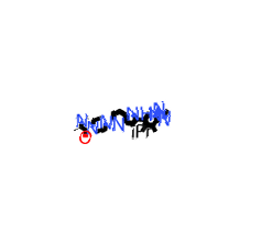 Cc1c(-c2[nH]c3ccc(N4CCN(C(=O)[C@H](C)N(C)C)CC4)nc3c2C(C)C)cn2ncnc2c1C